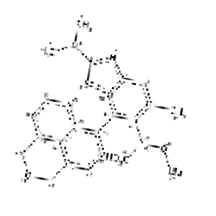 Cc1cc2nc(N(C)C)sc2c(-c2ccc3c4c(ccnc24)COC3)c1[C@H](OC(C)(C)C)C(=O)O